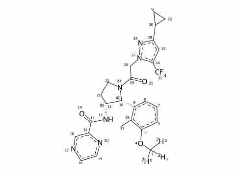 [2H]C([2H])([2H])Oc1cccc([C@@H]2[C@H](NC(=O)c3cnccn3)CCN2C(=O)Cn2nc(C3CC3)cc2C(F)(F)F)c1C